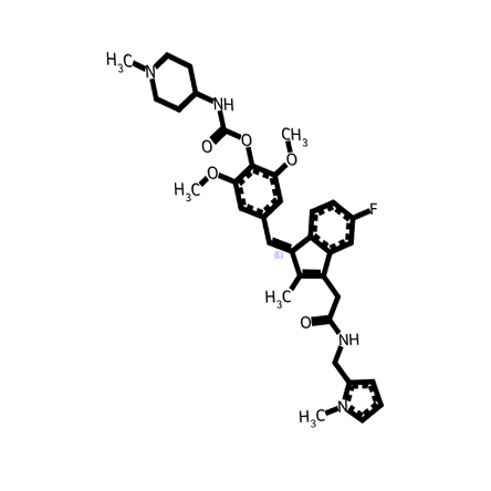 COc1cc(/C=C2/C(C)=C(CC(=O)NCc3cccn3C)c3cc(F)ccc32)cc(OC)c1OC(=O)NC1CCN(C)CC1